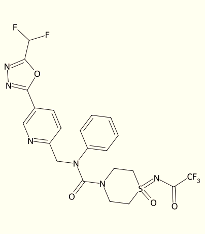 O=C(N1CCS(=O)(=NC(=O)C(F)(F)F)CC1)N(Cc1ccc(-c2nnc(C(F)F)o2)cn1)c1ccccc1